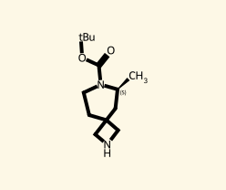 C[C@H]1CC2(CCN1C(=O)OC(C)(C)C)CNC2